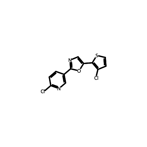 Clc1ccc(-c2ncc(-c3sccc3Cl)o2)cn1